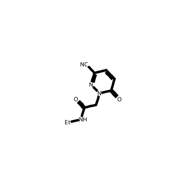 CCNC(=O)Cn1nc(C#N)ccc1=O